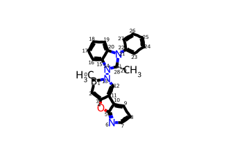 CB1C=c2oc3ncccc3c2=CN1N1c2ccccc2N(c2ccccc2)[C@@H]1C